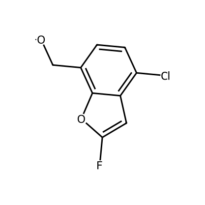 [O]Cc1ccc(Cl)c2cc(F)oc12